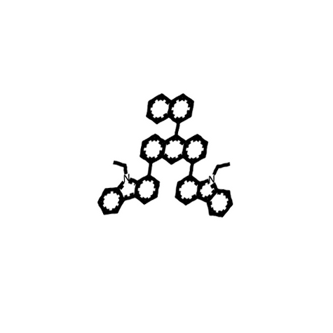 CCn1c2ccccc2c2cccc(-c3cccc4c(-c5cccc6ccccc56)c5cccc(-c6cccc7c8ccccc8n(CC)c67)c5cc34)c21